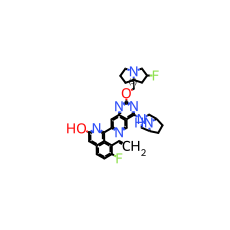 C=Cc1c(F)ccc2cc(O)nc(-c3cc4nc(OC[C@@]56CCCN5CC(F)C6)nc(N5CC6CCC(C5)N6)c4cn3)c12